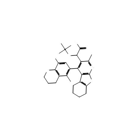 Cc1nc2sc3c(c2c(-c2cc(F)c4c(c2C)CCCO4)c1C(OC(C)(C)C)C(=O)O)CCCC3